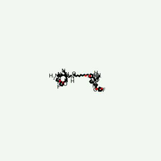 CN[C@H](C)C(=O)N[C@@H](C(=O)N1CCC[C@@H]1C1=NC(C(=O)c2ccc(F)cc2)CS1)C1CCN(CCCCCCCCC(=O)NCCn2nc(C#N)c3c2CN(C)C(=O)c2ccc(F)cc2[C@H]2CCCN2c2cc-3cnc2N)CC1